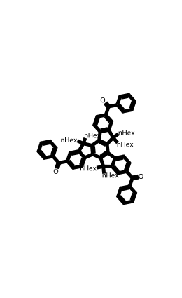 CCCCCCC1(CCCCCC)c2cc(C(=O)c3ccccc3)ccc2-c2c1c1c(c3c2C(CCCCCC)(CCCCCC)c2cc(C(=O)c4ccccc4)ccc2-3)C(CCCCCC)(CCCCCC)c2cc(C(=O)c3ccccc3)ccc2-1